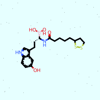 O=C(CCCCC1CCSS1)N[C@H](CCc1c[nH]c2ccc(O)cc12)B(O)O